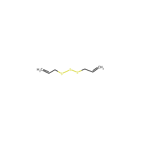 C=CCSSSCC=C